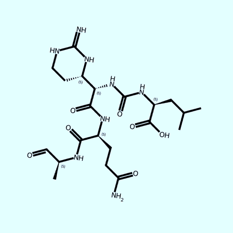 CC(C)C[C@H](NC(=O)N[C@H](C(=O)N[C@@H](CCC(N)=O)C(=O)N[C@@H](C)C=O)[C@@H]1CCNC(=N)N1)C(=O)O